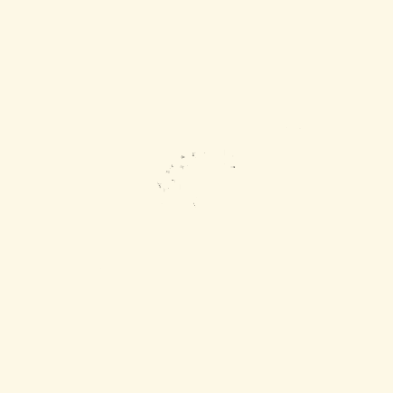 CC(C)CCC[C@@H](C)[C@H]1CC[C@H]2[C@@H]3CC=C4CC(O)CC[C@]4(C)[C@H]3CC[C@]12C.CCCCCCCCCCCCCCCCOC(=O)CCCCCCCCCCCCCCC